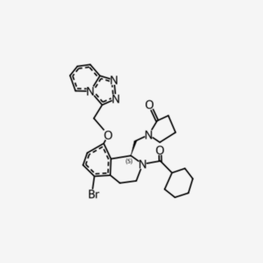 O=C1CCCN1C[C@@H]1c2c(OCc3nnc4ccccn34)ccc(Br)c2CCN1C(=O)C1CCCCC1